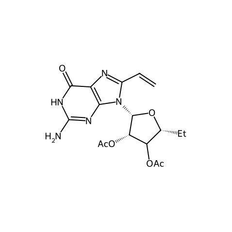 C=Cc1nc2c(=O)[nH]c(N)nc2n1[C@@H]1O[C@H](CC)C(OC(C)=O)[C@@H]1OC(C)=O